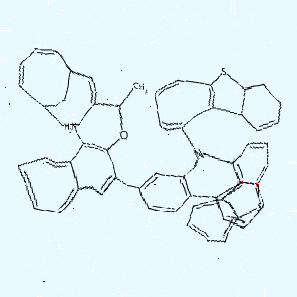 CC(Oc1c(-c2ccc(-c3ccccc3)c(N(c3cccc4c3C3C=CCCC3S4)c3cccc4sc5ccccc5c34)c2)cc2ccccc2c1N)C1=CC2C=CC=CC(CC1)C2